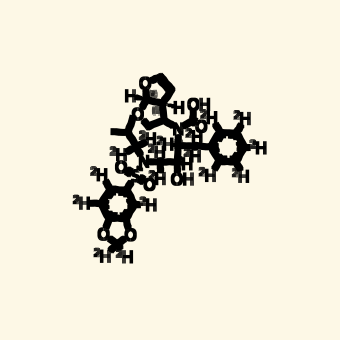 [2H]c1c([2H])c([2H])c(C([2H])([2H])[C@]([2H])(N(C(=O)O)C2CO[C@@H]3OC=C[C@@H]23)[C@]([2H])(O)C([2H])([2H])N(C([2H])([2H])C(C)C)S(=O)(=O)c2c([2H])c([2H])c3c(c2[2H])OC([2H])([2H])O3)c([2H])c1[2H]